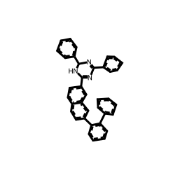 c1ccc(C2=NC(c3ccccc3)NC(c3ccc4ccc(-c5ccccc5-c5ccccc5)cc4c3)=N2)cc1